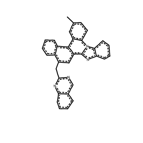 Cc1ccc2c(c1)c1c3ccccc3c(Cc3ncc4ccccc4n3)cc1c1nc3ccccc3n21